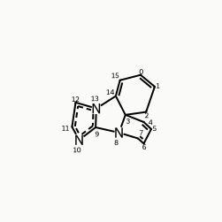 C1=CCC23C=CC=CN2c2nccn2C3=C1